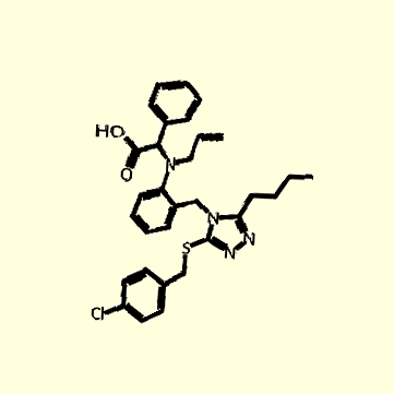 C=CCN(c1ccccc1Cn1c(CCCC)nnc1SCc1ccc(Cl)cc1)C(C(=O)O)c1ccccc1